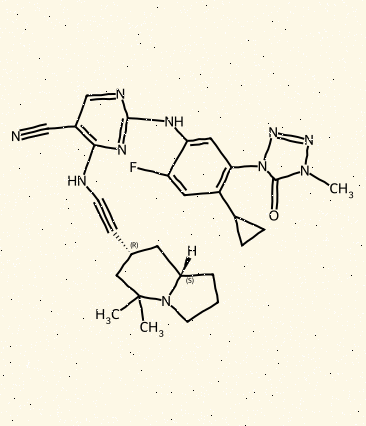 Cn1nnn(-c2cc(Nc3ncc(C#N)c(NC#C[C@@H]4C[C@@H]5CCCN5C(C)(C)C4)n3)c(F)cc2C2CC2)c1=O